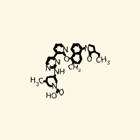 CCC1CCN(c2cccc3c(Oc4ncccc4-c4ccnc(NC5CC(C)CN(C(=O)O)C5)n4)c(C)ccc23)C1=O